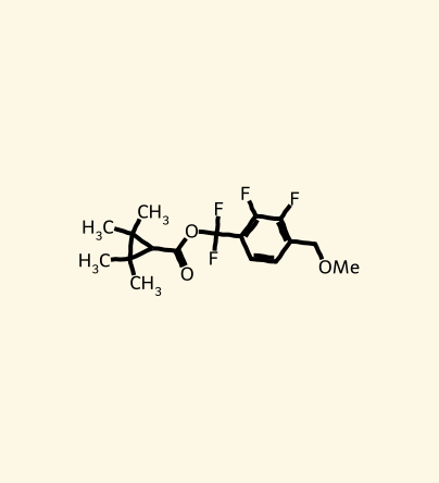 COCc1ccc(C(F)(F)OC(=O)C2C(C)(C)C2(C)C)c(F)c1F